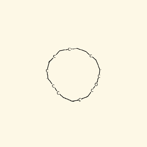 [CH]1CCCCCCCCC[CH]COCCCCCCC1